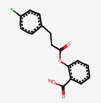 O=C(CCc1ccc(F)cc1)Oc1ccccc1C(=O)O